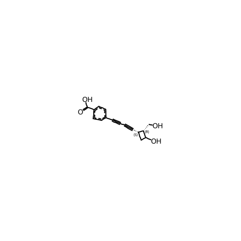 O=C(O)c1ccc(C#CC#C[C@H]2CC(O)[C@H]2CO)cc1